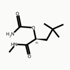 CNC(=O)[C@H](CC(C)(C)C)OC(N)=O